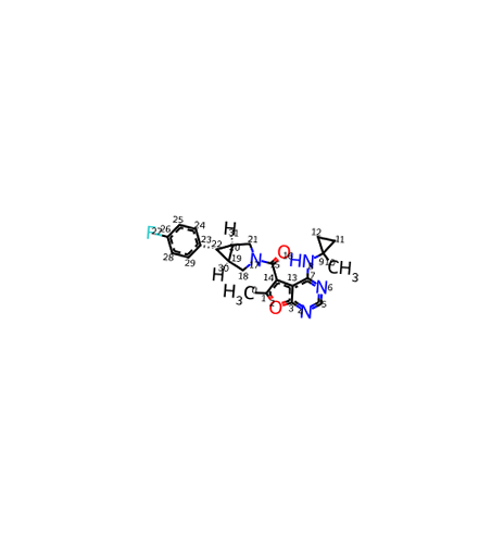 Cc1oc2ncnc(NC3(C)CC3)c2c1C(=O)N1C[C@@H]2[C@H](C1)[C@H]2c1ccc(F)cc1